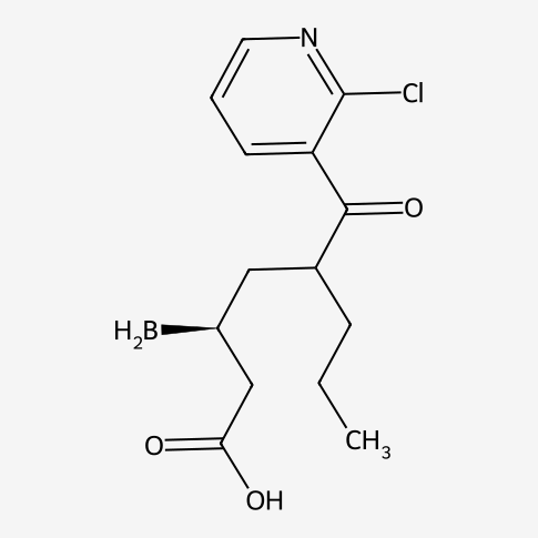 B[C@H](CC(=O)O)CC(CCC)C(=O)c1cccnc1Cl